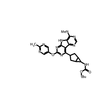 CNc1ncnc2c1[nH]c1nc(Oc3cnc(C)nc3)nc(C3CC4C(C3)C4NC(=O)OC(C)(C)C)c12